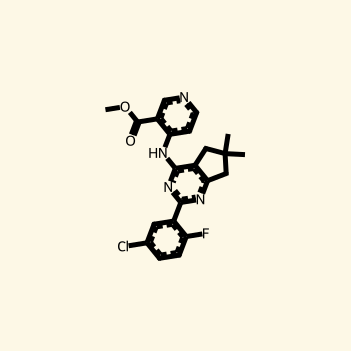 COC(=O)c1cnccc1Nc1nc(-c2cc(Cl)ccc2F)nc2c1CC(C)(C)C2